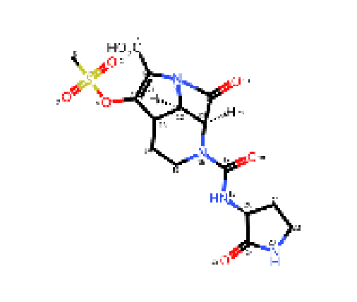 CS(=O)(=O)OC1=C(C(=O)O)N2C(=O)[C@@H]3[C@H]2C1CCN3C(=O)N[C@H]1CCNC1=O